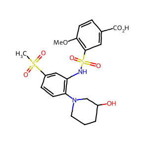 COc1ccc(C(=O)O)cc1S(=O)(=O)Nc1cc(S(C)(=O)=O)ccc1N1CCCC(O)C1